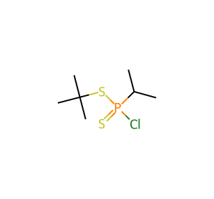 CC(C)P(=S)(Cl)SC(C)(C)C